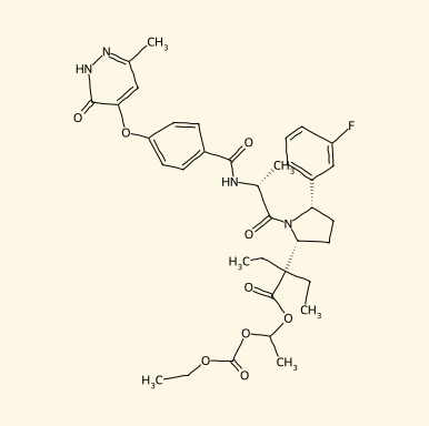 CCOC(=O)OC(C)OC(=O)C(CC)(CC)[C@H]1CC[C@@H](c2cccc(F)c2)N1C(=O)[C@@H](C)NC(=O)c1ccc(Oc2cc(C)n[nH]c2=O)cc1